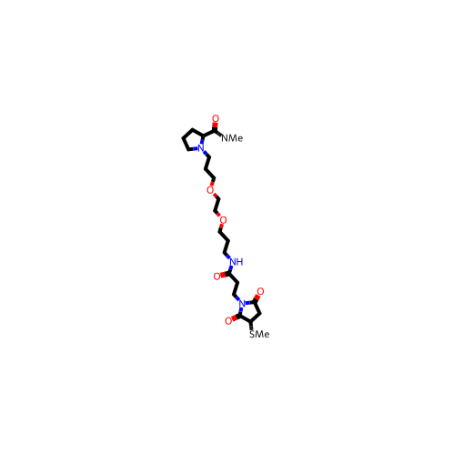 CNC(=O)C1CCCN1CCCOCCOCCCNC(=O)CCN1C(=O)CC(SC)C1=O